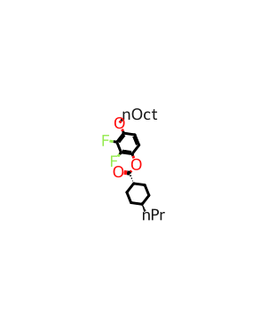 CCCCCCCCOc1ccc(OC(=O)[C@H]2CC[C@H](CCC)CC2)c(F)c1F